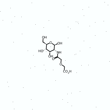 O=C(O)COCC(=O)N[C@@H]1[C@@H](O)[C@H](O)[C@@H](CO)O[C@H]1O